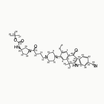 CCc1cc2c(cc1N1CCN(CCCC(=O)N3CC[C@@H](NC(=O)OC(C)(C)C)C3)CC1)C(C)(C)c1[nH]c3cc(C#N)ccc3c1C2=O